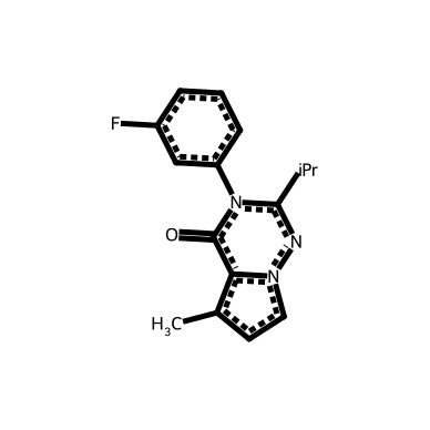 Cc1ccn2nc(C(C)C)n(-c3cccc(F)c3)c(=O)c12